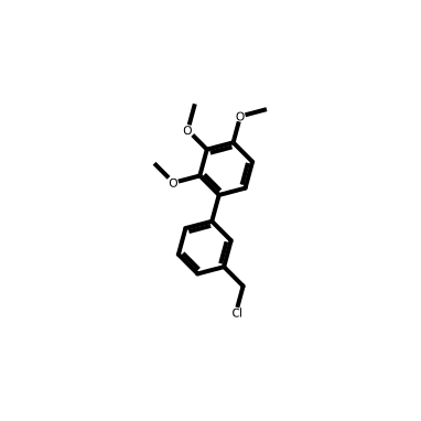 COc1ccc(-c2cccc(CCl)c2)c(OC)c1OC